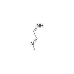 CN=CC=N